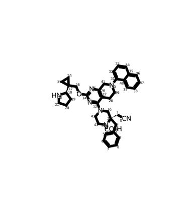 N#CC[C@@]1(Cc2ccccc2)CN(c2nc(OCC3([C@H]4CCCN4)CC3)nc3c2CCN(c2cccc4ccccc24)C3)CCN1C(=O)O